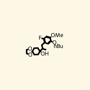 CCCCOc1cc(CC(C)C2(O)CCC3(CC2)OCCO3)c(F)cc1OC